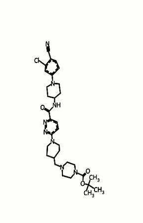 CC(C)(C)OC(=O)N1CCN(CC2CCN(c3ccc(C(=O)NC4CCN(c5ccc(C#N)c(Cl)c5)CC4)nn3)CC2)CC1